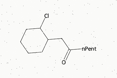 CCCCCC(=O)CC1CCCCC1Cl